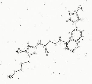 CCCCCc1cc(NC(=O)CCNc2nccc3ccc(-c4noc(C)n4)cc23)nn1C